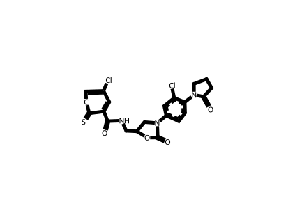 O=C(NCC1CN(c2ccc(N3CCCC3=O)c(Cl)c2)C(=O)O1)C1=CC(Cl)=CCC1=S